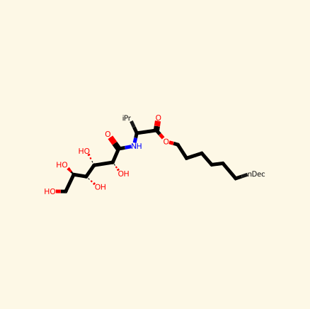 CCCCCCCCCCCCCCCCOC(=O)C(NC(=O)[C@H](O)[C@@H](O)[C@H](O)[C@H](O)CO)C(C)C